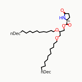 CCCCCCCCCCCCCCCCCCCCOCC(COC(=O)[C@@H]1CCC(=O)N1)OCCCCCCCCCCCCCCCCCCCC